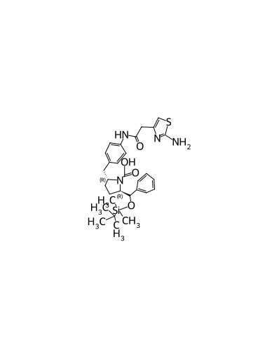 CC(C)(C)[Si](C)(C)OC(c1ccccc1)[C@H]1CC[C@H](Cc2ccc(NC(=O)Cc3csc(N)n3)cc2)N1C(=O)O